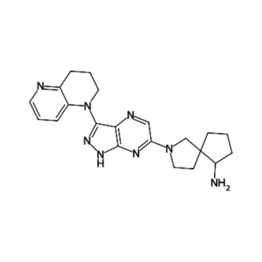 NC1CCCC12CCN(c1cnc3c(N4CCCc5ncccc54)n[nH]c3n1)C2